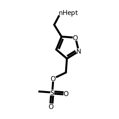 CCCCCCCCc1cc(COS(C)(=O)=O)no1